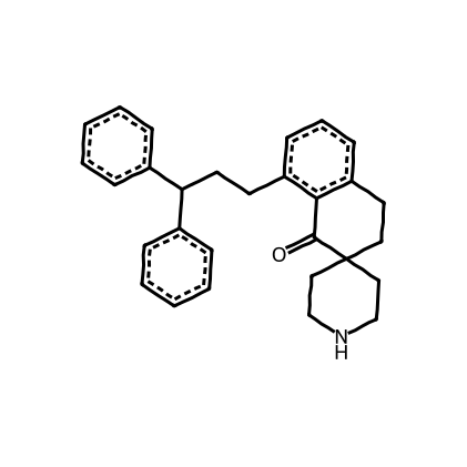 O=C1c2c(CCC(c3ccccc3)c3ccccc3)cccc2CCC12CCNCC2